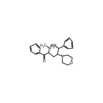 CC(c1ccccc1)C(CC(C(=O)c1ccccc1)N(C)C)N1CCOCC1